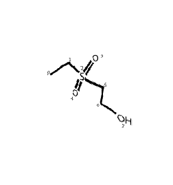 [CH2]CS(=O)(=O)CCO